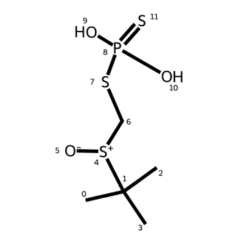 CC(C)(C)[S+]([O-])CSP(O)(O)=S